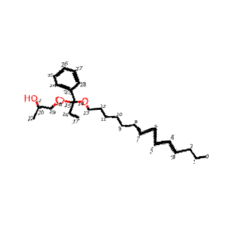 CCCCCCCCCCCCCCOC(CC)(OCC(C)O)c1ccccc1